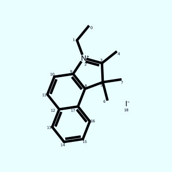 CC[N+]1=C(C)C(C)(C)c2c1ccc1ccccc21.[I-]